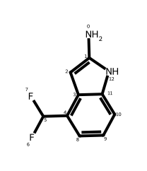 Nc1cc2c(C(F)F)cccc2[nH]1